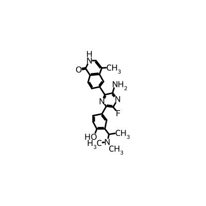 Cc1c[nH]c(=O)c2ccc(-c3nc(-c4ccc(O)c(C(C)N(C)C)c4)c(F)nc3N)cc12